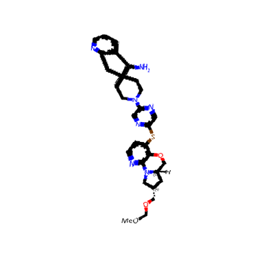 COCOC[C@H]1C[C@H]2COc3c(Sc4cnc(N5CCC6(CC5)Cc5ncccc5C6N)cn4)ccnc3N2C1